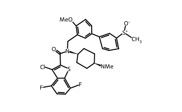 CN[C@H]1CC[C@@H](N(Cc2cc(-c3cccc([S+](C)[O-])c3)ccc2OC)C(=O)c2sc3c(F)ccc(F)c3c2Cl)CC1